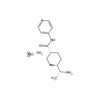 C[C@@H](N)[C@H]1CC[C@H](C(=O)Nc2ccncc2)CC1.Cl.Cl.O